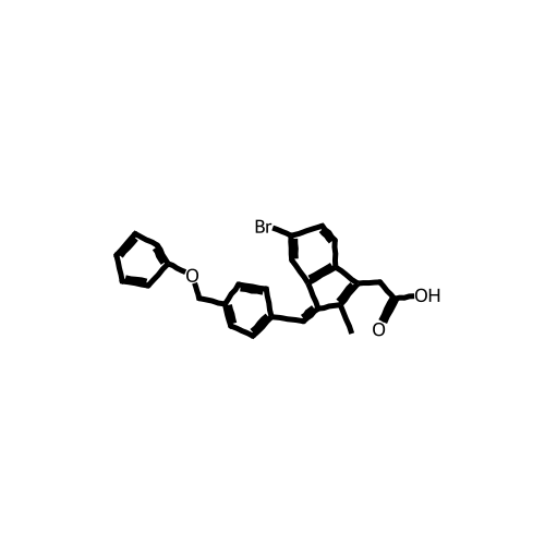 CC1=C(CC(=O)O)c2ccc(Br)cc2/C1=C\c1ccc(COc2ccccc2)cc1